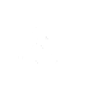 CCN(CC)CCn1c(Cc2ccccc2OC)nc2ccccc2c1=O.Cl